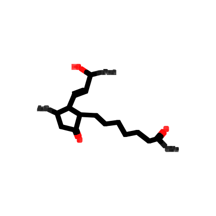 CCCCCC(O)/C=C/C1C(OC(C)=O)CC(=O)C1CCCCCCC(=O)OC